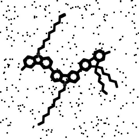 C=CCCCCCCCCn1c2ccc(C)cc2c2cc(-c3ccc4c(c3)c3cc(-c5ccc6c(c5)C(CCCCCC)(CCCCCC)c5cc(C)ccc5-6)ccc3n4CCCCCCCCCC)ccc21